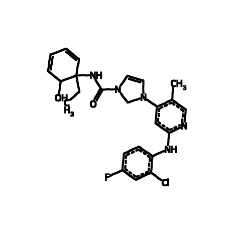 CCC1(NC(=O)N2C=CN(c3cc(Nc4ccc(F)cc4Cl)ncc3C)C2)C=CC=CC1O